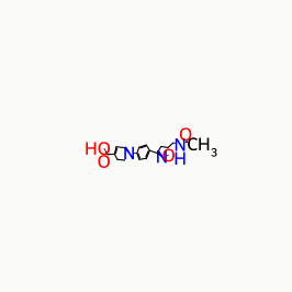 CC(=O)NCC1CC(c2ccc(N3CC=C(C(=O)O)CC3)cc2)=NO1